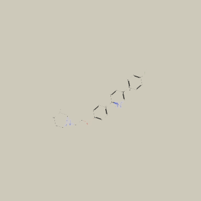 Clc1ccc(-c2ccc(-c3ccc(OCCN4CCCCC4)cc3)nc2)cc1